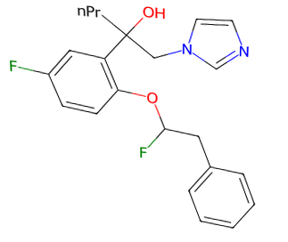 CCCC(O)(Cn1ccnc1)c1cc(F)ccc1OC(F)Cc1ccccc1